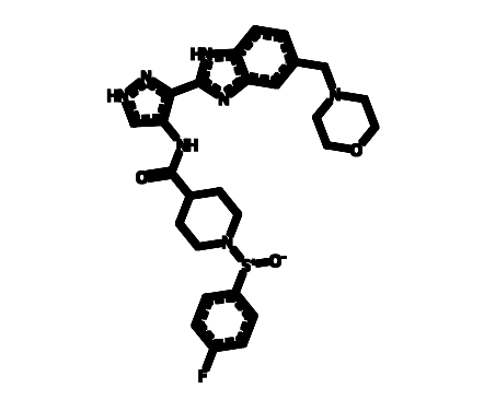 O=C(Nc1c[nH]nc1-c1nc2cc(CN3CCOCC3)ccc2[nH]1)C1CCN([S+]([O-])c2ccc(F)cc2)CC1